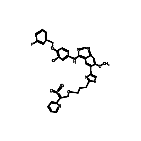 COc1cc2ncnc(Nc3ccc(OCc4cccc(F)c4)c(Cl)c3)c2cc1-c1csc(CCCOCC(c2ccccn2)=S(=O)=O)n1